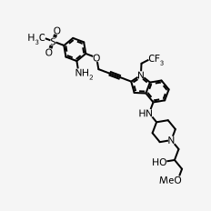 COCC(O)CN1CCC(Nc2cccc3c2cc(C#CCOc2ccc(S(C)(=O)=O)cc2N)n3CC(F)(F)F)CC1